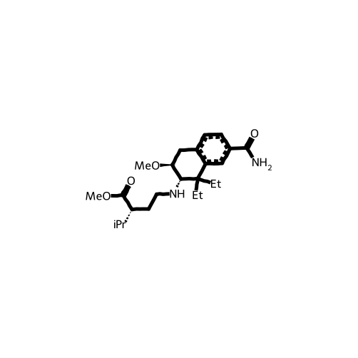 CCC1(CC)c2cc(C(N)=O)ccc2C[C@H](OC)[C@H]1NCC[C@@H](C(=O)OC)C(C)C